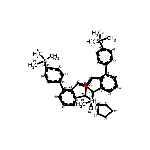 C[Si](C)(C)c1ccc(-c2cccc3c2C=C[CH]3[Hf]([CH3])([CH3])(=[C]2CCCC2)[CH]2C=Cc3c(-c4ccc([Si](C)(C)C)cc4)cccc32)cc1